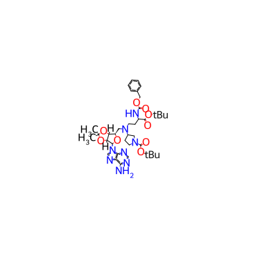 CC(C)(C)OC(=O)C(CCN(C[C@H]1O[C@@H](n2cnc3c(N)ncnc32)[C@@H]2OC(C)(C)O[C@@H]21)C1CCN(C(=O)OC(C)(C)C)C1)NC(=O)OCc1ccccc1